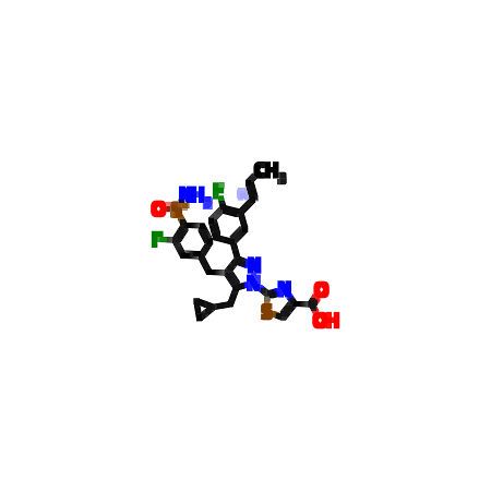 C/C=C/c1cc(-c2nn(-c3nc(C(=O)O)cs3)c(CC3CC3)c2Cc2ccc([S+](N)[O-])c(F)c2)ccc1F